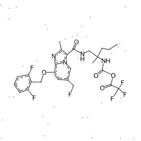 CCCC(C)(CNC(=O)c1c(C)nc2c(OCc3c(F)cccc3F)cc(CF)cn12)NC(=O)OC(=O)C(F)(F)F